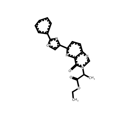 CCOC(=O)C(C)n1cnc2ccc(-c3coc(-c4ccccc4)n3)nc2c1=O